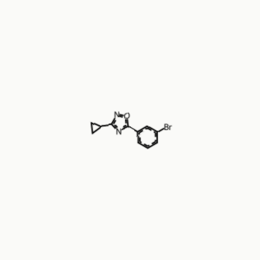 Brc1cccc(-c2nc(C3CC3)no2)c1